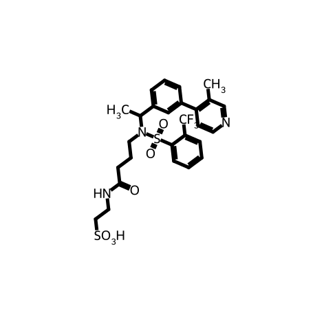 Cc1cnccc1-c1cccc(C(C)N(CCCC(=O)NCCS(=O)(=O)O)S(=O)(=O)c2ccccc2C(F)(F)F)c1